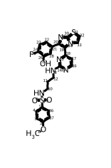 COc1ccc(S(=O)(=O)NCCCNc2nccc(-c3c(-c4ccc(F)c(O)c4)nc4sccn34)n2)cc1